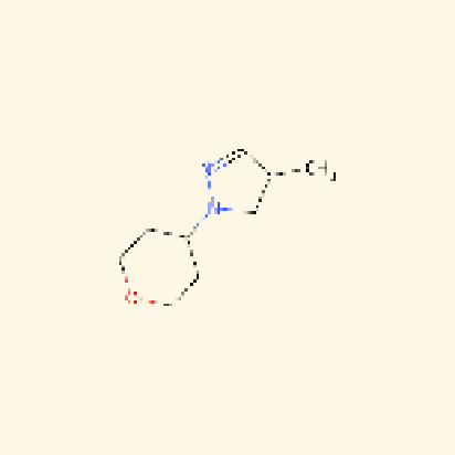 CC1C=NN(C2CCOCC2)C1